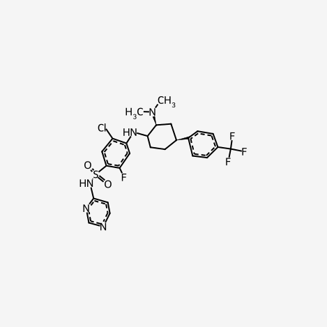 CN(C)[C@H]1C[C@@H](c2ccc(C(F)(F)F)cc2)CCC1Nc1cc(F)c(S(=O)(=O)Nc2ccncn2)cc1Cl